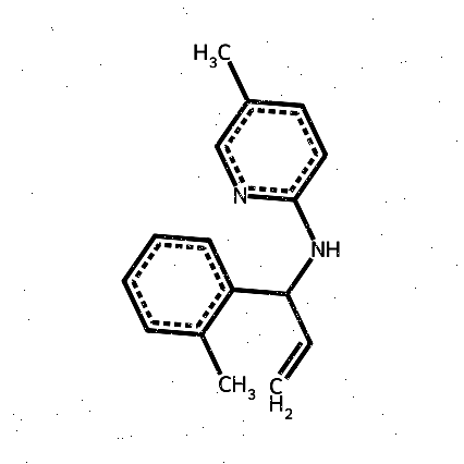 C=CC(Nc1ccc(C)cn1)c1ccccc1C